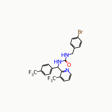 O=C(NCc1ccc(Br)cc1)NC(c1ccc(C(F)(F)F)cc1)c1ncccc1C(F)(F)F